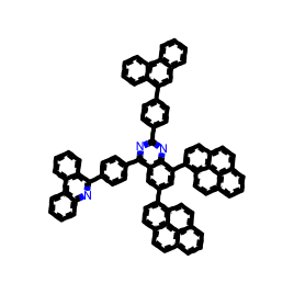 c1ccc2c(c1)cc(-c1ccc(-c3nc(-c4ccc(-c5nc6ccccc6c6ccccc56)cc4)c4cc(-c5ccc6ccc7cccc8ccc5c6c78)cc(-c5ccc6ccc7cccc8ccc5c6c78)c4n3)cc1)c1ccccc12